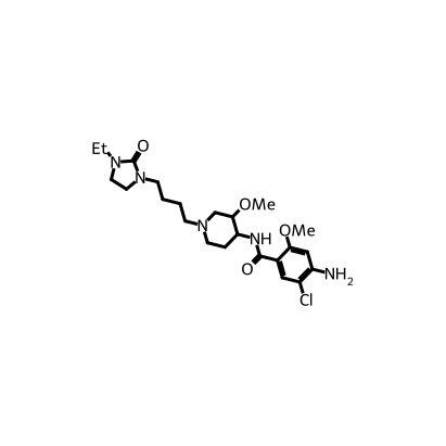 CCN1CCN(CCCCN2CCC(NC(=O)c3cc(Cl)c(N)cc3OC)C(OC)C2)C1=O